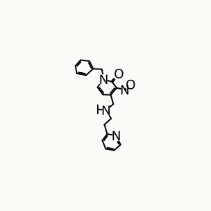 O=Nc1c(CN(I)CCc2ccccn2)ccn(Cc2ccccc2)c1=O